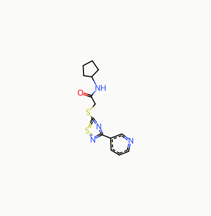 O=C(CSc1nc(-c2cccnc2)ns1)NC1CCCC1